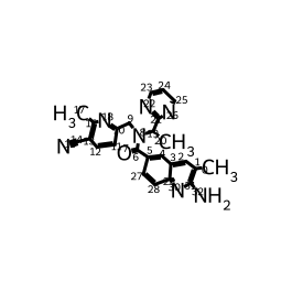 Cc1cc2cc(C(=O)N(Cc3ccc(C#N)c(C)n3)[C@H](C)c3ncccn3)ccc2nc1N